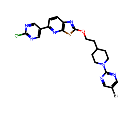 CCc1cnc(N2CCC(CCOc3nc4ccc(-c5cnc(Cl)nc5)nc4s3)CC2)nc1